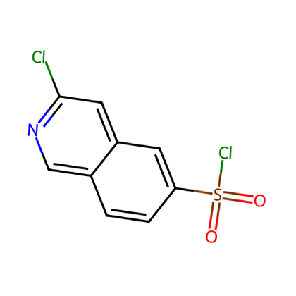 O=S(=O)(Cl)c1ccc2cnc(Cl)cc2c1